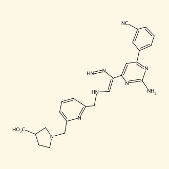 N#Cc1cccc(-c2cc(/C(=C/NCc3cccc(CN4CCC(C(=O)O)C4)n3)N=N)nc(N)n2)c1